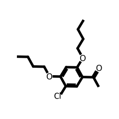 CCCCOc1cc(OCCCC)c(C(C)=O)cc1Cl